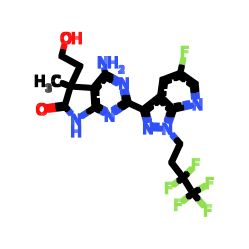 CC1(CCO)C(=O)Nc2nc(-c3nn(CCC(F)(F)C(F)(F)F)c4ncc(F)cc34)nc(N)c21